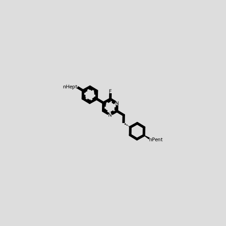 CCCCCCCc1ccc(-c2cnc(CC[C@H]3CC[C@H](CCCCC)CC3)nc2F)cc1